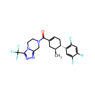 C[C@H]1CC(C(=O)N2CCn3c(nnc3C(F)(F)F)C2)=CC[C@@H]1c1cc(F)c(F)cc1F